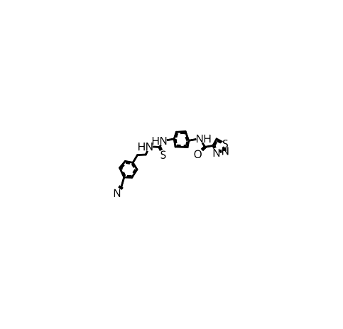 N#Cc1ccc(CCNC(=S)Nc2ccc(NC(=O)c3csnn3)cc2)cc1